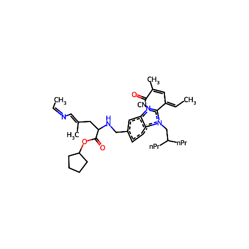 C/C=N\C=C(/C)CC(NCc1ccc2c(c1)nc(C(/C=C(/C)C(=O)C#N)=C/C)n2CC(CCC)CCC)C(=O)OC1CCCC1